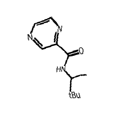 CC(NC(=O)c1cnccn1)C(C)(C)C